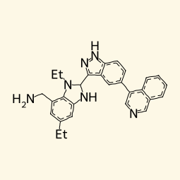 CCc1cc(CN)c2c(c1)NC(c1n[nH]c3ccc(-c4cncc5ccccc45)cc13)N2CC